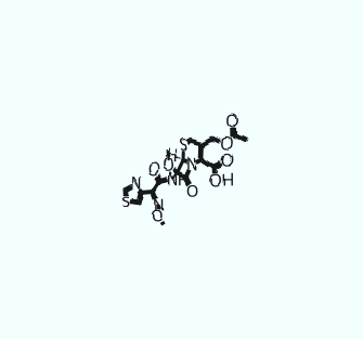 CON=C(C(=O)N[C@]1(OC)C(=O)N2C(C(=O)O)=C(COC(C)=O)CS[C@@H]21)c1cscn1